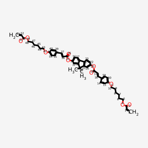 C=CC(=O)OCCCCCCOc1ccc(C=CC(=O)Oc2ccc3c(c2)C(C)(C)c2cc(OC(=O)C=Cc4ccc(OCCCCCCOC(=O)C=C)cc4)ccc2-3)cc1